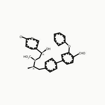 C[C@H](Cc1ccc(-c2ccc(C=O)c(Oc3ccccc3)c2)cc1)N(C[C@H](O)c1ccc(Cl)nc1)C(=O)O